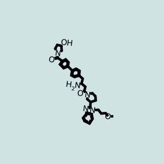 COCCCn1c(C2CCCN(C(=O)CC(N)Cc3ccc(-c4ccc(C(=O)N5CCC(O)C5)cc4)cc3)C2)nc2ccccc21